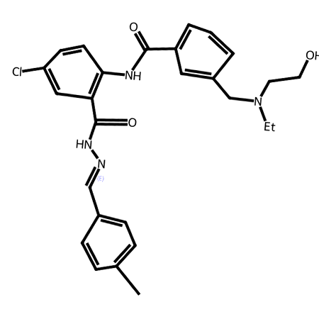 CCN(CCO)Cc1cccc(C(=O)Nc2ccc(Cl)cc2C(=O)N/N=C/c2ccc(C)cc2)c1